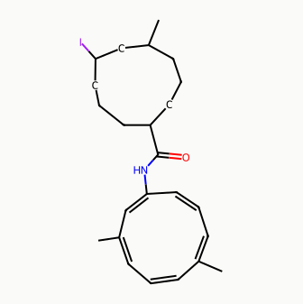 Cc1cccc(C)cc(NC(=O)C2CCCC(C)CC(I)CCC2)ccc1